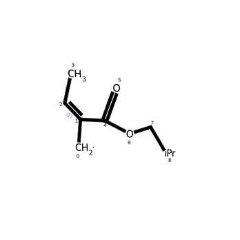 [CH2]/C(=C/C)C(=O)OCC(C)C